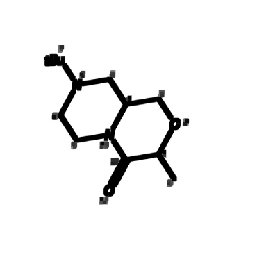 CC1OCC2CN(C(C)(C)C)CCN2C1=O